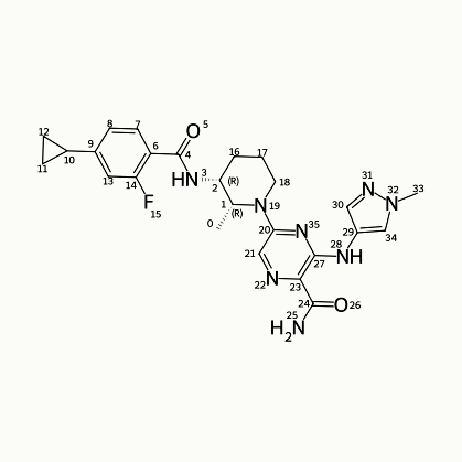 C[C@@H]1[C@H](NC(=O)c2ccc(C3CC3)cc2F)CCCN1c1cnc(C(N)=O)c(Nc2cnn(C)c2)n1